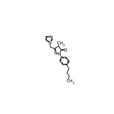 CCCCc1ccc(N2N=C(Cn3ccnc3)C(C)C2=O)cc1